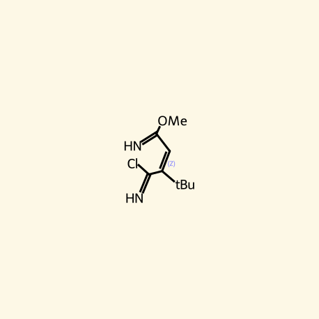 COC(=N)/C=C(\C(=N)Cl)C(C)(C)C